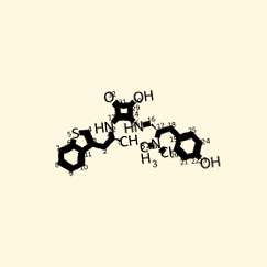 C[C@H](Cc1csc2ccccc12)NC1=C(NC[C@H](Cc2ccc(O)cc2)N(C)C)C(O)C1=O